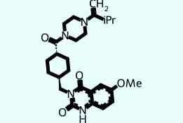 C=C(C(C)C)N1CCN(C(=O)[C@H]2CC[C@H](Cn3c(=O)[nH]c4ccc(OC)cc4c3=O)CC2)CC1